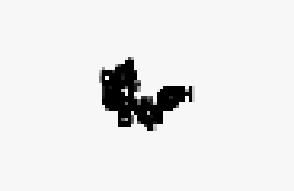 COc1cc(C)cc(F)c1-c1nccc2c1CN(c1cc(C)nc(N3CCNCC3)n1)C2=O